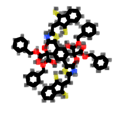 O=C(OCc1ccccc1)C1(C(=O)OCc2ccccc2)Oc2nc(C=C3C(=S)c4ccccc4C3=S)sc2-c2cc3c(cc21)-c1sc(C=C2C(=S)c4ccccc4C2=S)nc1OC3(C(=O)OCc1ccccc1)C(=O)OCc1ccccc1